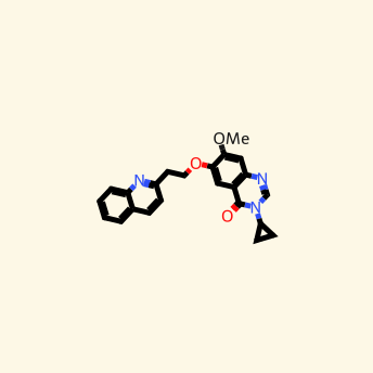 COc1cc2ncn(C3CC3)c(=O)c2cc1OCCc1ccc2ccccc2n1